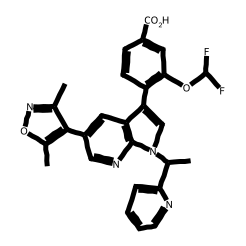 Cc1noc(C)c1-c1cnc2c(c1)c(-c1ccc(C(=O)O)cc1OC(F)F)cn2C(C)c1ccccn1